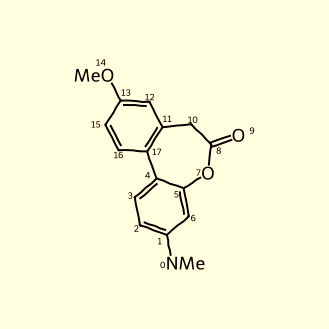 CNc1ccc2c(c1)OC(=O)Cc1cc(OC)ccc1-2